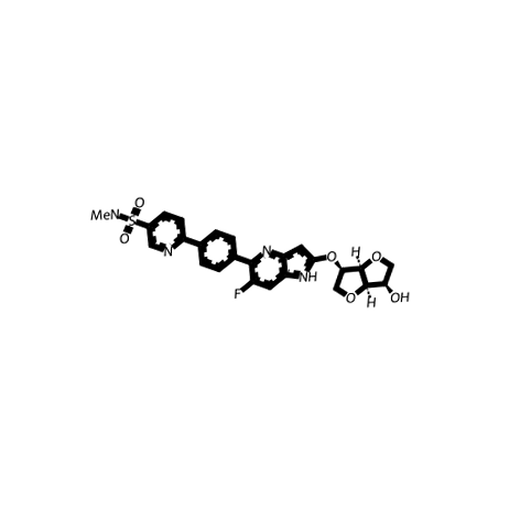 CNS(=O)(=O)c1ccc(-c2ccc(-c3nc4cc(O[C@@H]5CO[C@H]6[C@@H]5OC[C@H]6O)[nH]c4cc3F)cc2)nc1